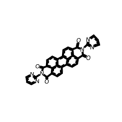 O=C1c2ccc3c4ccc5c6c(ccc(c7ccc(c2c37)C(=O)N1c1ncccn1)c64)C(=O)N(c1ncccn1)C5=O